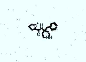 CN1CCCC1C(=O)NC1(Cc2ccccc2)CCNCC1